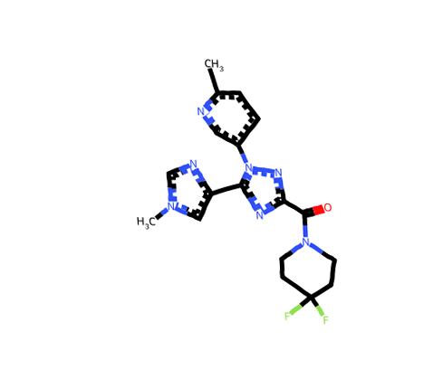 Cc1ccc(-n2nc(C(=O)N3CCC(F)(F)CC3)nc2-c2cn(C)cn2)cn1